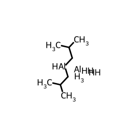 CC(C)[CH2][AlH][CH2]C(C)C.[AlH3].[HH].[HH]